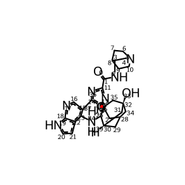 O=C(NC1CN2CCC1CC2)c1noc(-c2cnc3[nH]ccc3c2N[C@H]2[C@@H]3CC4C[C@H]2C[C@@](O)(C4)C3)n1